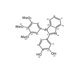 COc1cc(-n2c(-c3ccc(O)c(O)c3)nc3ccccc32)cc(OC)c1OC